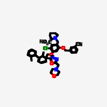 Cc1ccccc1C1=CC=CC(COc2cc(OCc3cccc(C#N)c3)c(CN3CCCC[C@H]3C(=O)O)cc2Cl)(c2nnc(CN3CCOCC3)o2)C1C